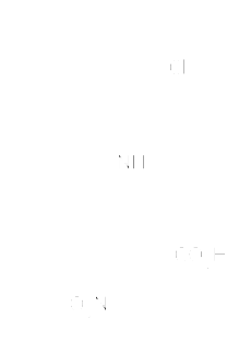 O=C(O)/C(=C\Nc1ccccc1Cl)[N+](=O)[O-]